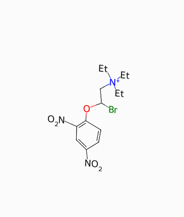 CC[N+](CC)(CC)CC(Br)Oc1ccc([N+](=O)[O-])cc1[N+](=O)[O-]